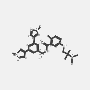 Cc1ccc(OCC(C)(C)N(C)C)cc1C(=O)N[C@H](C)c1cc(-c2cnn(C)c2)cc(-c2cnn(C)c2)c1